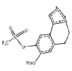 COc1cc2c(cc1OS(=O)(=O)C(F)(F)F)-c1cncn1CC2